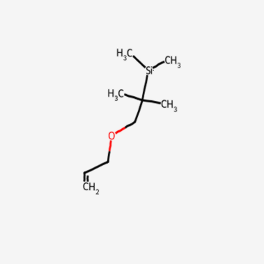 C=CCOCC(C)(C)[Si](C)C